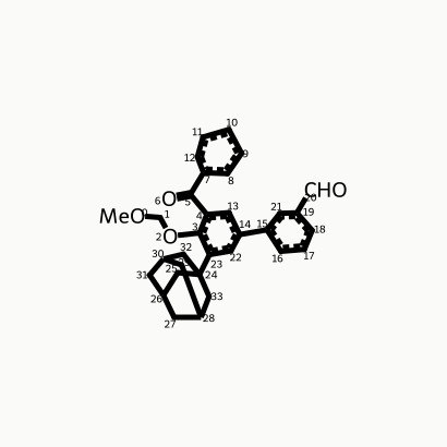 COCOc1c(C(=O)c2ccccc2)cc(-c2cccc(C=O)c2)cc1C12CC3CC(CC(C3)C1)C2